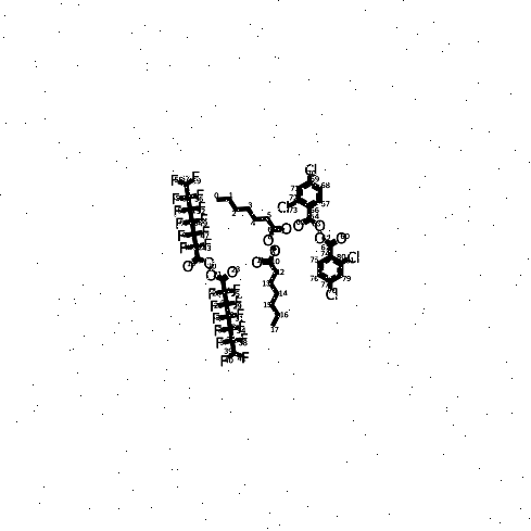 CCCCCCC(=O)OOC(=O)CCCCCC.O=C(OOC(=O)C(F)(F)C(F)(F)C(F)(F)C(F)(F)C(F)(F)C(F)F)C(F)(F)C(F)(F)C(F)(F)C(F)(F)C(F)(F)C(F)F.O=C(OOC(=O)c1ccc(Cl)cc1Cl)c1ccc(Cl)cc1Cl